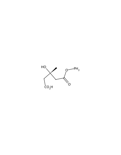 C[C@](O)(CC(=O)O)CC(=O)OP